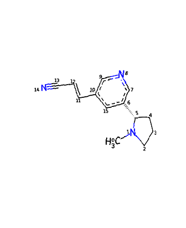 CN1CCC[C@H]1c1cncc(/C=C/C#N)c1